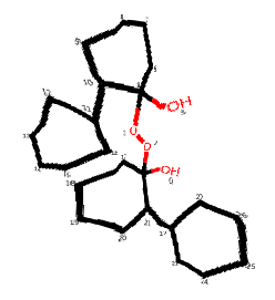 OC1(OOC2(O)CCCCC2C2CCCCC2)CCCCC1C1CCCCC1